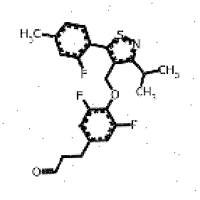 Cc1ccc(-c2snc(C(C)C)c2COc2c(F)cc(CCC=O)cc2F)c(F)c1